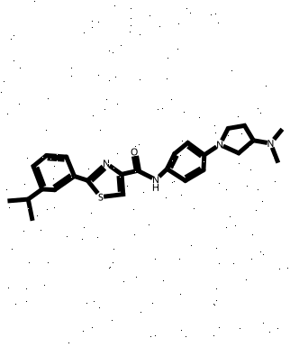 CC(C)c1cccc(-c2nc(C(=O)Nc3ccc(N4CCC(N(C)C)C4)cc3)cs2)c1